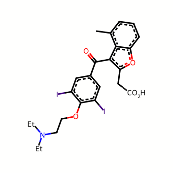 CCN(CC)CCOc1c(I)cc(C(=O)c2c(CC(=O)O)oc3cccc(C)c23)cc1I